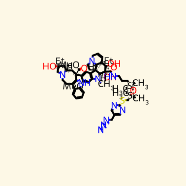 CC[C@]1(O)C[C@H]2C[C@](C(=O)OC)(c3cc4c(cc3OC)N(C)[C@H]3[C@@](O)(C(=O)NCCC[Si](C)(C)O[Si](C)(C)CSc5ncc(CN=[N+]=[N-])cn5)[C@H](O)[C@]5(CC)C=CCN6CC[C@]43[C@@H]65)c3[nH]c4ccccc4c3CCN2C1